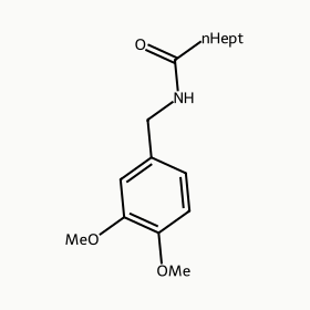 CCCCCCCC(=O)NCc1ccc(OC)c(OC)c1